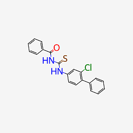 O=C(NC(=S)Nc1ccc(-c2ccccc2)c(Cl)c1)c1ccccc1